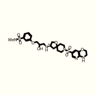 CNS(=O)(=O)c1cccc(OCC(O)CN[C@H]2COC3(CCN(S(=O)(=O)c4cnc5c(c4)OCCN5)CC3)C2)c1